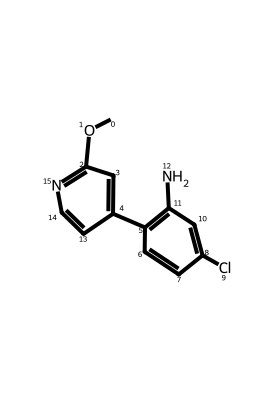 COc1cc(-c2ccc(Cl)cc2N)ccn1